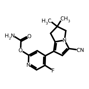 CC1(C)Cc2c(-c3cc(OC(N)=O)ncc3F)cc(C#N)n2C1